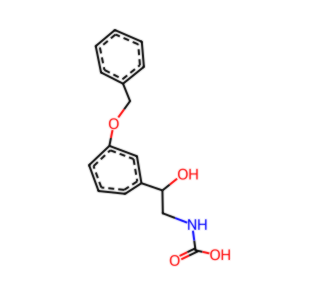 O=C(O)NCC(O)c1cccc(OCc2ccccc2)c1